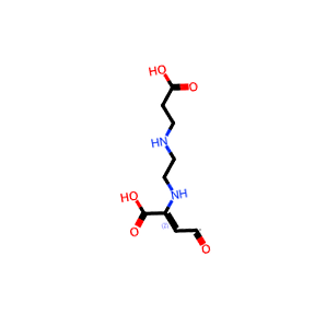 O=[C]/C=C(\NCCNCCC(=O)O)C(=O)O